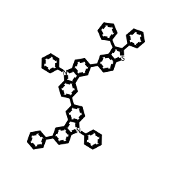 c1ccc(-c2ccc3c(c2)c2cc(-c4ccc5c(c4)c4cc(-c6ccc7sc(-c8ccccc8)c(-c8ccccc8)c7c6)ccc4n5-c4ccccc4)ccc2n3-c2ccccc2)cc1